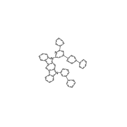 c1ccc(-c2ccc(-c3cc(-c4ccccc4)nc(-n4c5ccccc5c5cc6c7ccccc7n(-c7cccc(-c8ccccc8)c7)c6cc54)c3)cc2)cc1